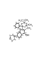 CC1(C)CC(C)(C)CC2(C1)c1ccccc1-c1c2cc(O)c2ccc(N3CCOCC3)cc12